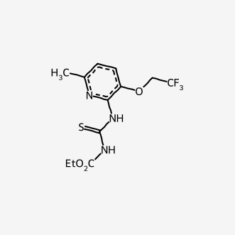 CCOC(=O)NC(=S)Nc1nc(C)ccc1OCC(F)(F)F